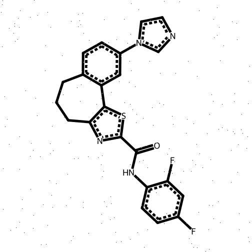 O=C(Nc1ccc(F)cc1F)c1nc2c(s1)-c1cc(-n3ccnc3)ccc1CCC2